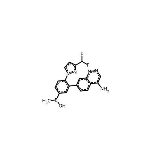 CB(O)c1ccc(-n2ccc(C(F)F)n2)c(-c2ccc3c(N)cnnc3c2)c1